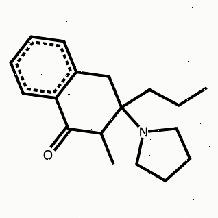 CCCC1(N2CCCC2)Cc2ccccc2C(=O)C1C